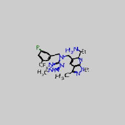 CCC(N)c1nc2c(cc1CN(Cc1cc(F)cc(C(F)(F)F)c1)c1nnn(C)n1)c(C)nn2CC